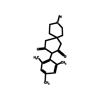 CC(=O)N1CCC2(CC1)CC(=O)C(c1c(C)cc(C)cc1C)C(=O)C2